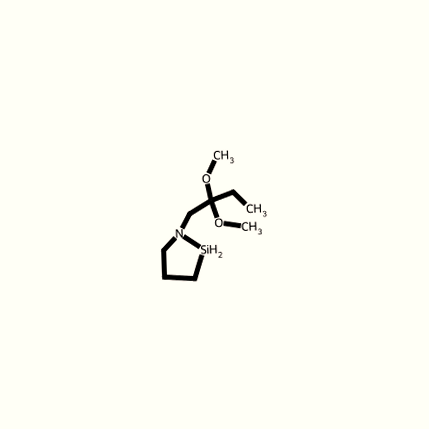 CCC(CN1CCC[SiH2]1)(OC)OC